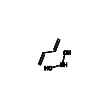 C=CC=C.OBO